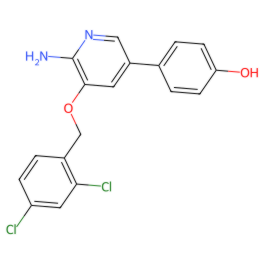 Nc1ncc(-c2ccc(O)cc2)cc1OCc1ccc(Cl)cc1Cl